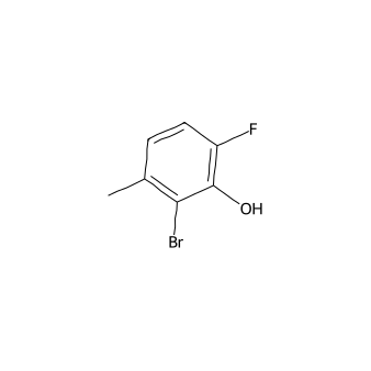 Cc1ccc(F)c(O)c1Br